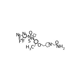 CCc1cc(N2C(=S)N(c3cnc(C#N)c(C(F)(F)F)c3)C(=O)C23CCC3)ccc1OCCC1CCN(CCC(N)=O)CC1